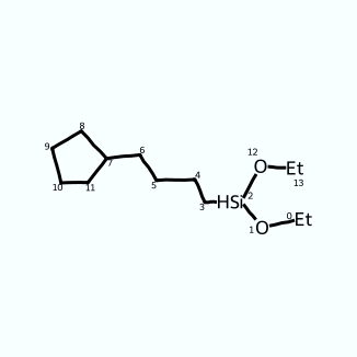 CCO[SiH](CCCCC1CCCC1)OCC